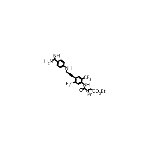 CCOC(=O)CN(C(=O)Nc1cc(C(F)(F)F)c(C#CCNc2ccc(C(=N)N)cc2)cc1C(F)(F)F)C(C)C